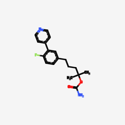 CC(C)(CCCc1ccc(F)c(-c2ccncc2)c1)OC(N)=O